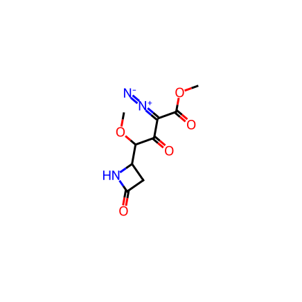 COC(=O)C(=[N+]=[N-])C(=O)C(OC)C1CC(=O)N1